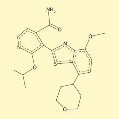 COc1ccc(C2CCOCC2)c2sc(-c3c(C(N)=O)ccnc3OC(C)C)nc12